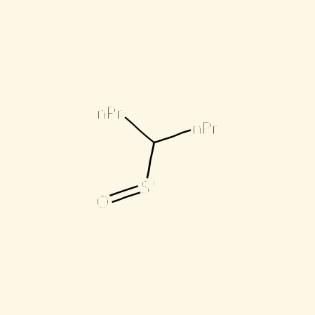 [CH2]CCC(CCC)[S+]=O